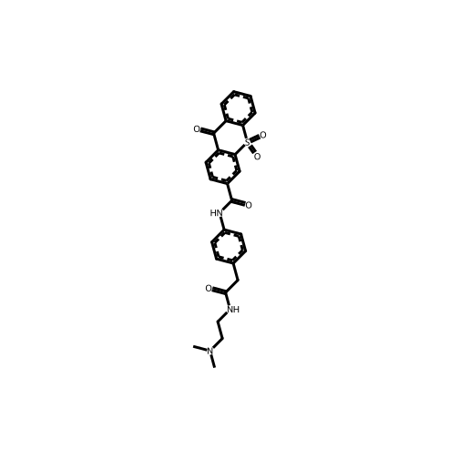 CN(C)CCNC(=O)Cc1ccc(NC(=O)c2ccc3c(c2)S(=O)(=O)c2ccccc2C3=O)cc1